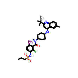 BC(C)(C)c1cc(NC2CCC(N(C)C(=O)c3c(P)ccc(NS(=O)(=O)CCC)c3F)CC2)c2cc(C)ccc2n1